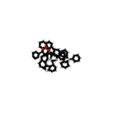 c1ccc(-c2cccc(-c3nc(-c4cccc5oc6ccc7ccc(-n8c9cc%10ccccc%10cc9c9ccc%10ccccc%10c98)cc7c6c45)nc(-c4cccc5c4c4ccccc4n5-c4ccccc4)n3)c2)cc1